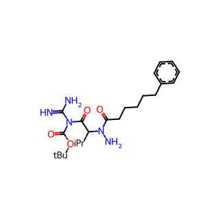 CC(C)C(C(=O)N(C(=N)N)C(=O)OC(C)(C)C)N(N)C(=O)CCCCCc1ccccc1